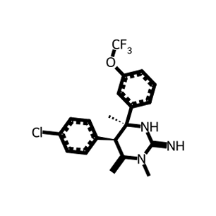 C=C1[C@@H](c2ccc(Cl)cc2)[C@@](C)(c2cccc(OC(F)(F)F)c2)NC(=N)N1C